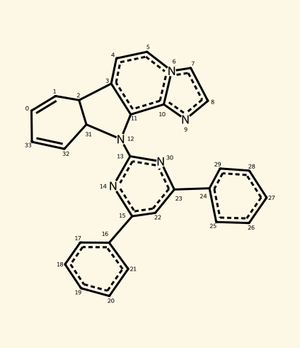 C1=CC2c3ccn4ccnc4c3N(c3nc(-c4ccccc4)cc(-c4ccccc4)n3)C2C=C1